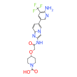 Nc1ncc(-c2ccc3nc(NC(=O)COC4CCN(C(=O)O)CC4)cn3c2)cc1C(F)(F)F